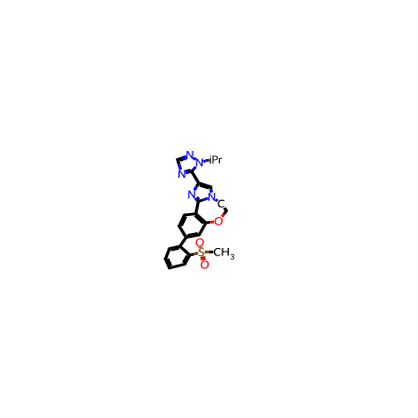 CC(C)n1ncnc1-c1cn2c(n1)-c1ccc(-c3ccccc3S(C)(=O)=O)cc1OCC2